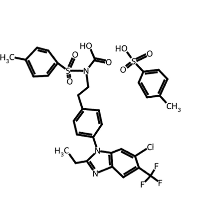 CCc1nc2cc(C(F)(F)F)c(Cl)cc2n1-c1ccc(CCN(C(=O)O)S(=O)(=O)c2ccc(C)cc2)cc1.Cc1ccc(S(=O)(=O)O)cc1